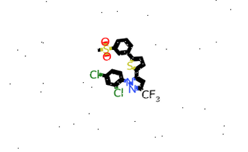 CS(=O)(=O)c1cccc(-c2ccc(-c3cc(C(F)(F)F)nn3-c3ccc(Cl)cc3Cl)s2)c1